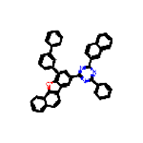 c1ccc(-c2cccc(-c3cc(-c4nc(-c5ccccc5)nc(-c5ccc6ccccc6c5)n4)cc4c3oc3c5ccccc5ccc43)c2)cc1